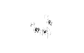 CN(C)CCc1cn(P2(=O)OC(CN(C)CCc3cn(P4(=O)OC(CN(C)CCc5cn(P6(=O)OCCC(c7ccc(F)c(F)c7)O6)c6ccccc56)CC(c5cc(F)cc(F)c5)O4)c4ccccc34)CC(c3cc(F)c(F)c(F)c3)O2)c2ccccc12